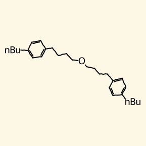 CCCCc1ccc(CCCCOCCCCc2ccc(CCCC)cc2)cc1